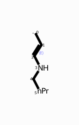 [CH2]/C=C/NCCCC